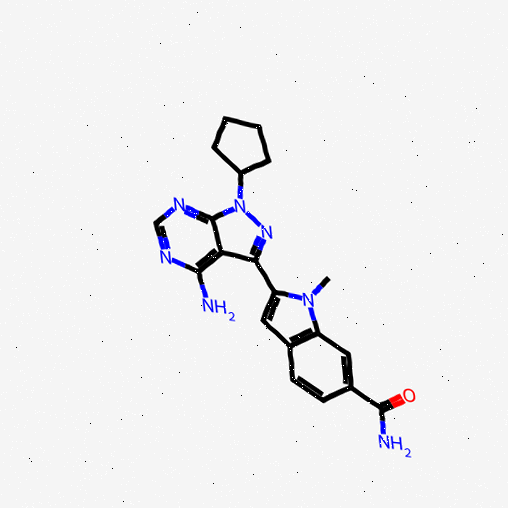 Cn1c(-c2nn(C3CCCC3)c3ncnc(N)c23)cc2ccc(C(N)=O)cc21